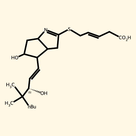 CCCCC(C)(C)[C@@H](O)C=CC1C(O)CC2N=C(SCC=CCC(=O)O)CC21